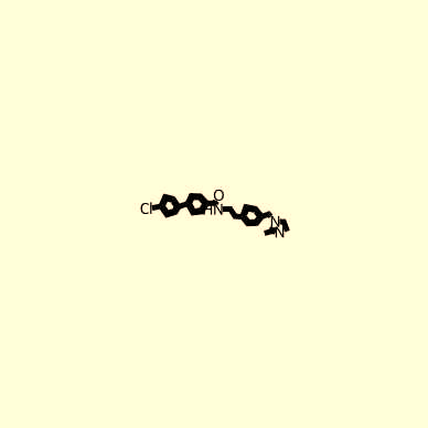 CC1=NCCN1Cc1ccc(CCNC(=O)c2ccc(-c3ccc(Cl)cc3)cc2)cc1